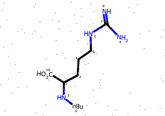 CCCCNC(CCCNC(=N)N)C(=O)O